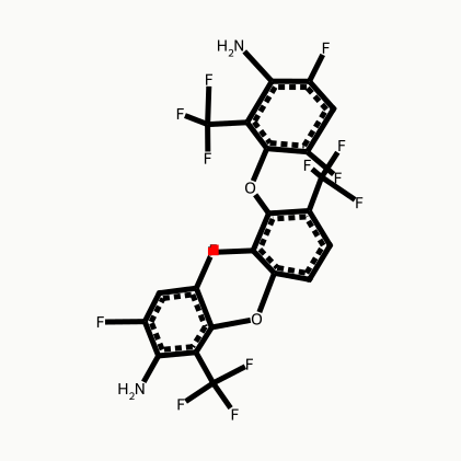 Nc1c(F)cc(F)c(Oc2ccc(C(F)(F)F)c(Oc3c(F)cc(F)c(N)c3C(F)(F)F)c2F)c1C(F)(F)F